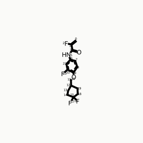 C=C(F)C(=O)Nc1ccc(OCC2CCC(F)(F)CC2)c(F)c1